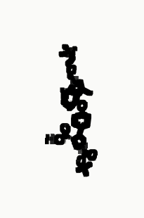 Cc1cn(COCC[Si](C)(C)C)c2nccc(Oc3ccc(C4CN(C(=O)OC(C)(C)C)C[C@@H]4C(=O)O)cc3)c12